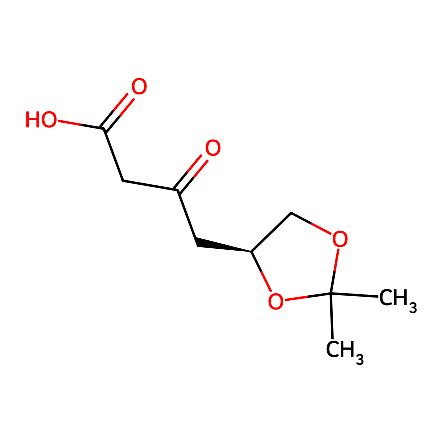 CC1(C)OC[C@H](CC(=O)CC(=O)O)O1